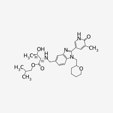 Cc1cc(-c2nc3cc(CN[C@H](C(=O)OCC(C)C)[C@@H](C)O)ccc3n2CC2CCCCO2)c[nH]c1=O